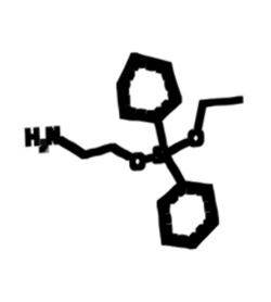 CCO[Si](OCCN)(c1ccccc1)c1ccccc1